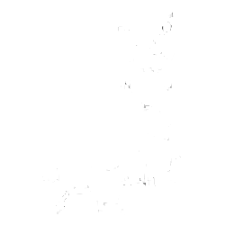 CCc1cc2ncc(CN3CCC(Nc4ccc(C(=O)NC)nc4)CC3)cc2[nH]c1=O